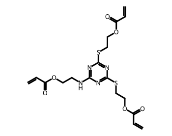 C=CC(=O)OCCNc1nc(SCCOC(=O)C=C)nc(SCCOC(=O)C=C)n1